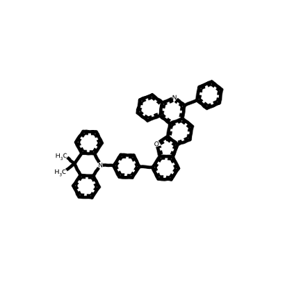 CC1(C)c2ccccc2N(c2ccc(-c3cccc4c3oc3c4ccc4c(-c5ccccc5)nc5ccccc5c43)cc2)c2ccccc21